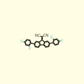 N#CC(C#N)=C1c2cc(-c3ccc(F)cc3F)ccc2-c2ccc(-c3ccc(F)cc3F)cc21